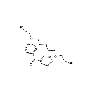 O=C(c1ccccc1)c1ccccc1.OCCOCCOCCOCCO